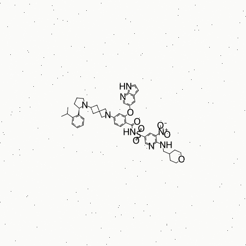 CC(C)c1ccccc1[C@H]1CCCN1C1CC2(C1)CN(c1ccc(C(=O)NS(=O)(=O)c3cnc(NCC4CCOCC4)c([N+](=O)[O-])c3)c(Oc3cnc4[nH]ccc4c3)c1)C2